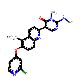 CCOC(=O)c1c(Oc2ccnc(Br)c2)ccc2nc(-c3cnc(NC(C)C)n(C)c3=O)ccc12